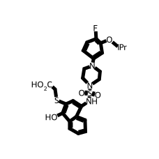 CC(C)Oc1cc(N2CCN(S(=O)(=O)Nc3cc(SCC(=O)O)c(O)c4ccccc34)CC2)ccc1F